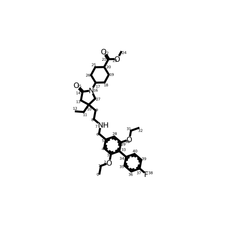 CCOc1cc(CNCCC2(CC)CC(=O)N(C3CCC(C(=O)OC)CC3)C2)cc(OCC)c1-c1ccc(F)cc1